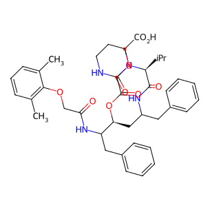 Cc1cccc(C)c1OCC(=O)NC(Cc1ccccc1)[C@H](CC(Cc1ccccc1)NC(=O)[C@H](C(C)C)N1CCCNC1=O)OC(=O)COCC(=O)O